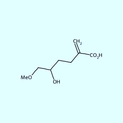 C=C(CCC(O)COC)C(=O)O